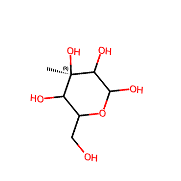 C[C@]1(O)C(O)C(O)OC(CO)C1O